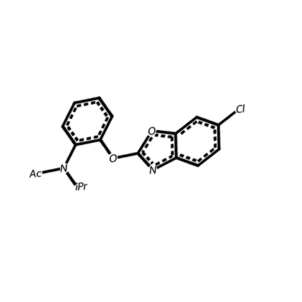 CC(=O)N(c1ccccc1Oc1nc2ccc(Cl)cc2o1)C(C)C